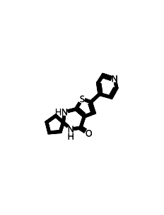 O=C1NC2(CCCC2)Nc2sc(-c3ccncc3)cc21